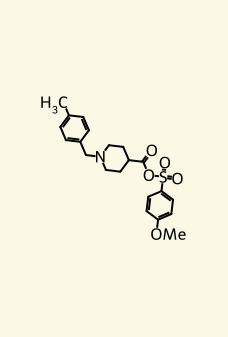 COc1ccc(S(=O)(=O)OC(=O)C2CCN(Cc3ccc(C)cc3)CC2)cc1